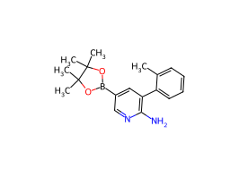 Cc1ccccc1-c1cc(B2OC(C)(C)C(C)(C)O2)cnc1N